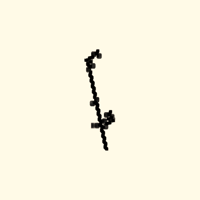 CCCCCCCCC(OC(=O)C[N+](C)(C)OC(C)=O)C(O)CCCCCCCC(=O)OCCCCCCCCCCOC(=O)C[N+](C)(C)CCOC(C)=O